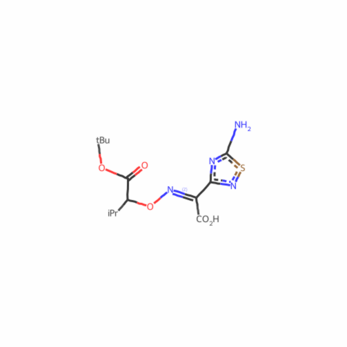 CC(C)C(O/N=C(\C(=O)O)c1nsc(N)n1)C(=O)OC(C)(C)C